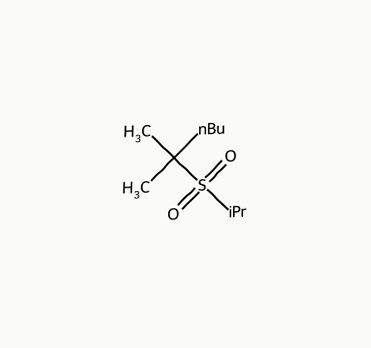 CCCCC(C)(C)S(=O)(=O)C(C)C